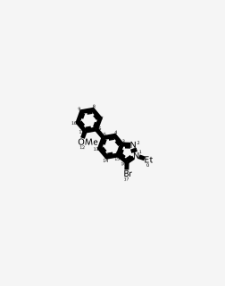 CCn1nc2cc(-c3ccccc3OC)ccc2c1Br